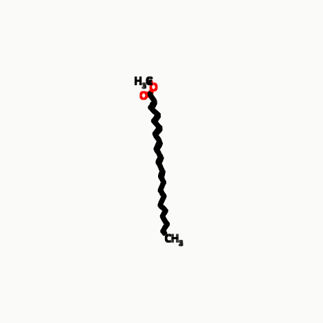 CCCCCCCCCC=CC=CC=CC=CC=CC=CC(=O)OC